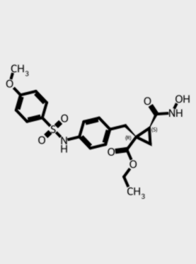 CCOC(=O)[C@@]1(Cc2ccc(NS(=O)(=O)c3ccc(OC)cc3)cc2)C[C@@H]1C(=O)NO